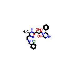 C[C@@H](NC(=O)[C@H](O)[C@@H](O)C(=O)N1CCNC[C@H]1c1ccccc1)C(=N)/C=C\NCc1ccccc1Cl